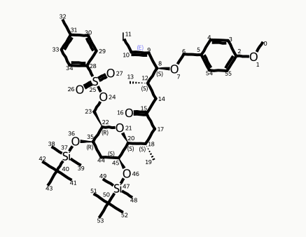 COc1ccc(CO[C@H](/C=C/I)[C@@H](C)CC(=O)C[C@H](C)[C@@H]2O[C@H](COS(=O)(=O)c3ccc(C)cc3)[C@H](O[Si](C)(C)C(C)(C)C)C[C@@H]2O[Si](C)(C)C(C)(C)C)cc1